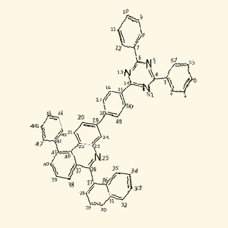 c1ccc(-c2nc(-c3ccccc3)nc(-c3ccc(-c4ccc5c(c4)nc(-c4cccc6ccccc46)c4cccc(-c6ccccc6)c45)cc3)n2)cc1